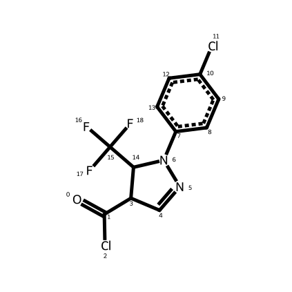 O=C(Cl)C1C=NN(c2ccc(Cl)cc2)C1C(F)(F)F